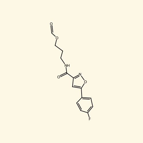 O=COCCCNC(=O)c1cc(-c2ccc(F)cc2)on1